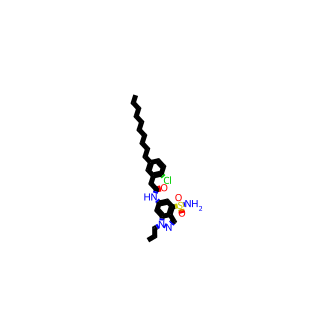 CCCCCCCCCCc1ccc(Cl)c(CC(=O)Nc2cc(S(N)(=O)=O)c3cnn(CCC)c3c2)c1